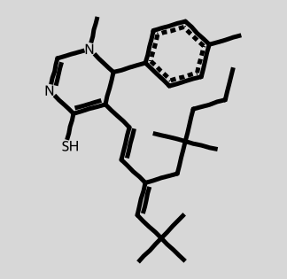 CCCC(C)(C)CC(/C=C/C1=C(S)N=CN(C)C1c1ccc(C)cc1)=C\C(C)(C)C